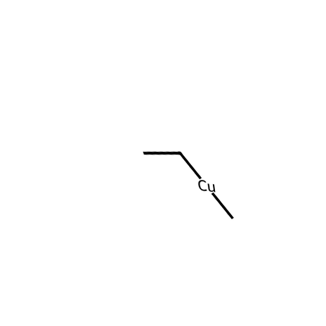 C[CH2][Cu][CH3]